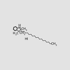 CCCCCCCCCCCCCCCCCCC1(C)Nc2ccccc2C1(C)C.I